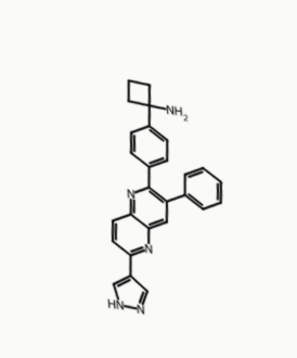 NC1(c2ccc(-c3nc4ccc(-c5cn[nH]c5)nc4cc3-c3ccccc3)cc2)CCC1